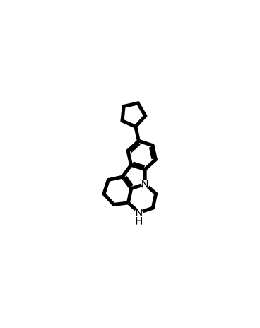 c1cc2c(cc1C1CCCC1)c1c3n2CCNC3CCC1